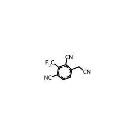 N#CCc1ccc(C#N)c(C(F)(F)F)c1C#N